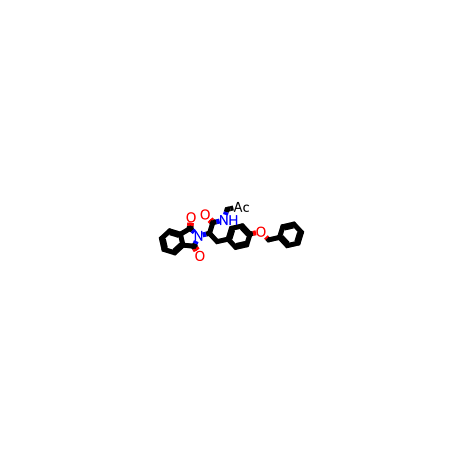 CC(=O)CNC(=O)C(Cc1ccc(OCc2ccccc2)cc1)N1C(=O)c2ccccc2C1=O